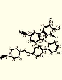 N#CB1CCC(COc2cnc(-c3cccc(Cn4c(=O)c(F)cc5c6cc(C#N)ccc6sc54)c3)nc2)CC1